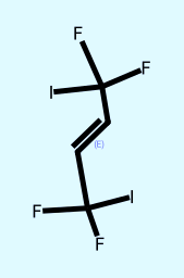 FC(F)(I)/C=C/C(F)(F)I